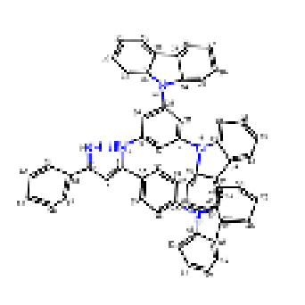 N=C(/C=C(\Nc1cc(-n2c3ccccc3c3ccccc32)cc(-n2c3ccccc3c3ccccc32)c1)c1ccc(-n2c3ccccc3c3ccccc32)cc1)c1ccccc1